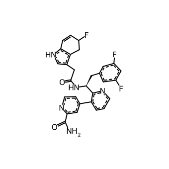 NC(=O)c1cc(-c2cccnc2[C@H](Cc2cc(F)cc(F)c2)NC(=O)Cc2c[nH]c3c2CC(F)C=C3)ccn1